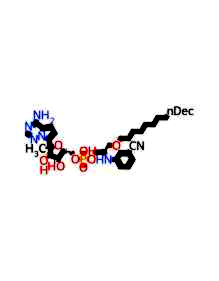 CCCCCCCCCCCCCCCCCCOC[C@H](COP(=O)(O)OC[C@H]1O[C@@](C)(c2ccc3c(N)ncnn23)[C@H](O)[C@@H]1O)Nc1cccc(C#N)c1